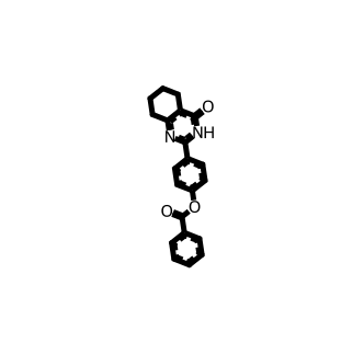 O=C(Oc1ccc(-c2nc3c(c(=O)[nH]2)CCCC3)cc1)c1ccccc1